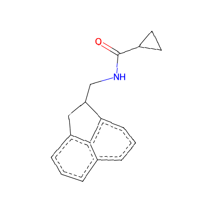 O=C(NCC1Cc2cccc3cccc1c23)C1CC1